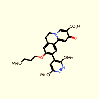 COCCCOc1cc2c(cc1-c1cc(OC)nnc1OC)-c1cc(=O)c(C(=O)O)cn1CC2